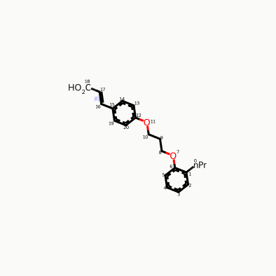 CCCc1ccccc1OCCCOc1ccc(/C=C/C(=O)O)cc1